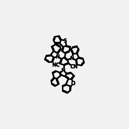 N#Cc1c(-n2c3ccccc3c3ccccc32)c(-c2ccc3sc4ccccc4c3c2)c(-n2c3ccccc3c3ccccc32)c(C#N)c1-n1c2ccc3ccccc3c2c2c3c(ccc21)oc1ccccc13